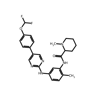 Cc1ccc(Nc2ncc(-c3ccc(OC(F)F)cc3)cn2)cc1NC(=O)C1CCCCN1C